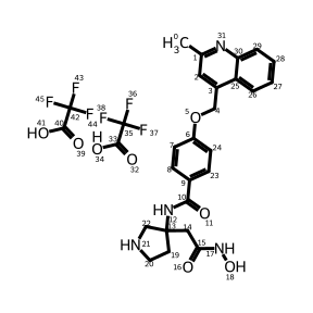 Cc1cc(COc2ccc(C(=O)NC3(CC(=O)NO)CCNC3)cc2)c2ccccc2n1.O=C(O)C(F)(F)F.O=C(O)C(F)(F)F